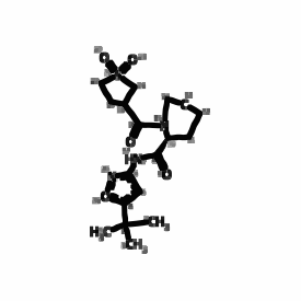 CC(C)(C)c1cc(NC(=O)[C@@H]2CCCCN2C(=O)C2CCS(=O)(=O)C2)no1